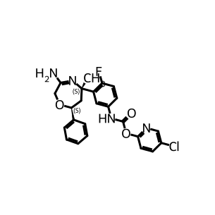 C[C@@]1(c2cc(NC(=O)Oc3ccc(Cl)cn3)ccc2F)C[C@@H](c2ccccc2)OCC(N)=N1